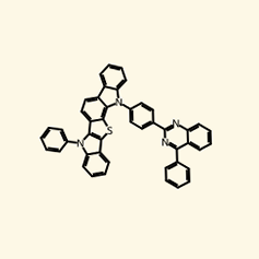 c1ccc(-c2nc(-c3ccc(-n4c5ccccc5c5ccc6c(sc7c8ccccc8n(-c8ccccc8)c67)c54)cc3)nc3ccccc23)cc1